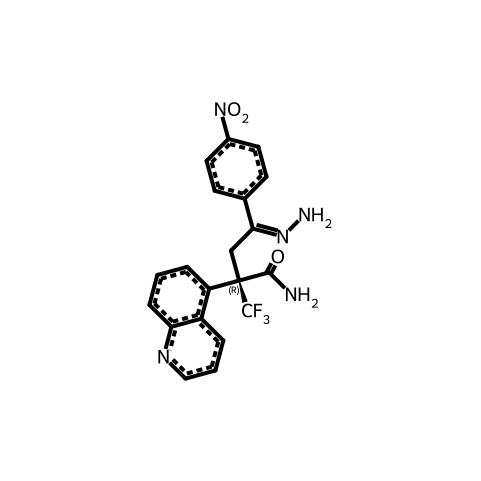 NN=C(C[C@](C(N)=O)(c1cccc2ncccc12)C(F)(F)F)c1ccc([N+](=O)[O-])cc1